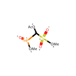 CO[PH](=O)C(OC(C)=O)S(=O)(=O)OC